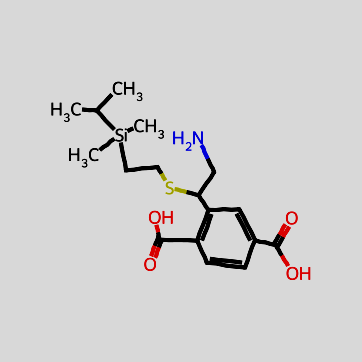 CC(C)[Si](C)(C)CCSC(CN)c1cc(C(=O)O)ccc1C(=O)O